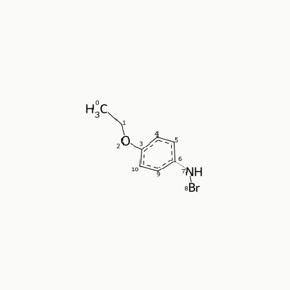 CCOc1ccc(NBr)cc1